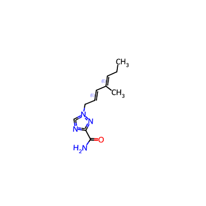 CC/C=C(C)/C=C/Cn1cnc(C(N)=O)n1